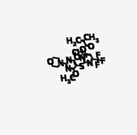 C=C(C)C(=O)Oc1cc(C(F)(F)F)nc(Sc2c(OC)nc(N3CCOCC3)nc2OC)n1